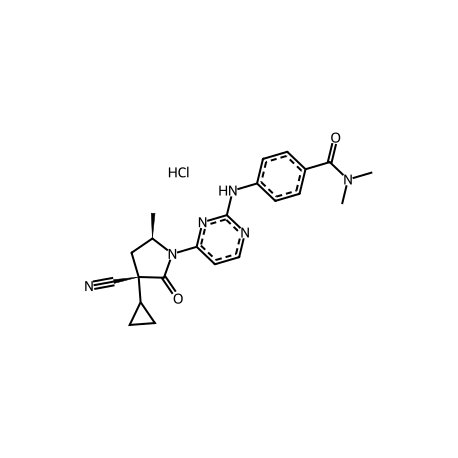 C[C@@H]1C[C@@](C#N)(C2CC2)C(=O)N1c1ccnc(Nc2ccc(C(=O)N(C)C)cc2)n1.Cl